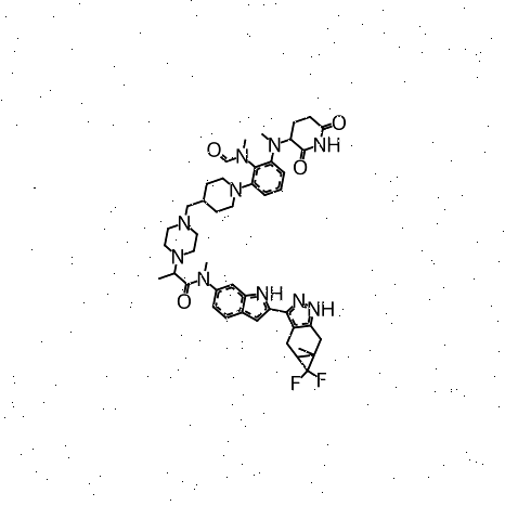 CC(C(=O)N(C)c1ccc2cc(-c3n[nH]c4c3CC3C(F)(F)C3(C)C4)[nH]c2c1)N1CCN(CC2CCN(c3cccc(N(C)C4CCC(=O)NC4=O)c3N(C)C=O)CC2)CC1